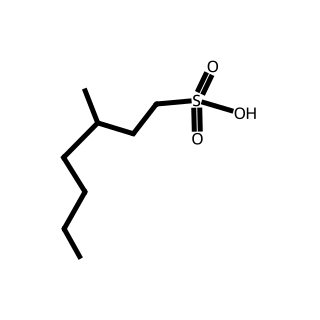 CCCCC(C)CCS(=O)(=O)O